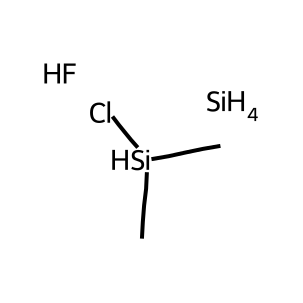 C[SiH](C)Cl.F.[SiH4]